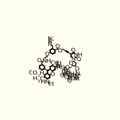 CC/N=c1/cc2oc3cc(NCC)c(C)cc3c(-c3cc(C(=O)NCCOc4ccc(C(=O)OCC#Cc5cn([C@H]6C[C@@H](OCN=[N+]=[N-])[C@@H](COP(=O)(O)OP(=O)(O)OP(=O)(O)O)O6)c(=O)[nH]c5=O)c(CN=[N+]=[N-])c4)ccc3C(=O)O)c-2cc1C